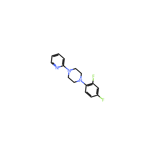 Fc1ccc(N2CCN(c3ccccn3)CC2)c(F)c1